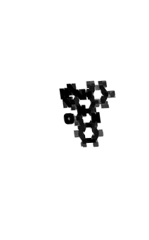 O=c1c2ccccc2nc(-c2ccccc2)n1-c1nnn[nH]1